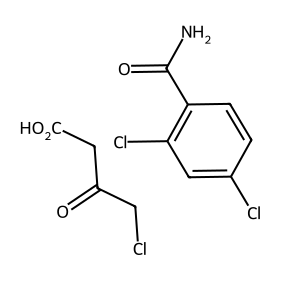 NC(=O)c1ccc(Cl)cc1Cl.O=C(O)CC(=O)CCl